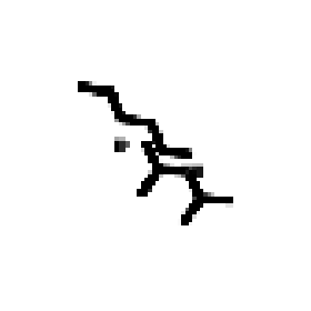 CC(C)NC(C)C.CCCCCC.[Li]